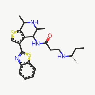 CC[C@H](C)NCCC(=O)NC1c2c(-c3nc4ccccc4s3)csc2C(C)NC1C